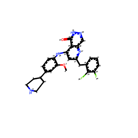 COc1cc(C2CCNCC2)ccc1Nc1cc(Cc2cccc(F)c2F)nc2cn[nH]c(=O)c12